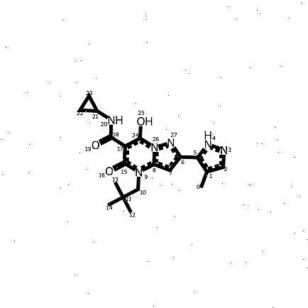 Cc1cn[nH]c1-c1cc2n(CC(C)(C)C)c(=O)c(C(=O)NC3CC3)c(O)n2n1